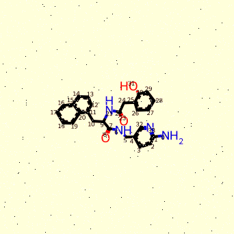 Nc1ccc(CNC(=O)C(Cc2cccc3ccccc23)NC(=O)Cc2ccccc2O)cn1